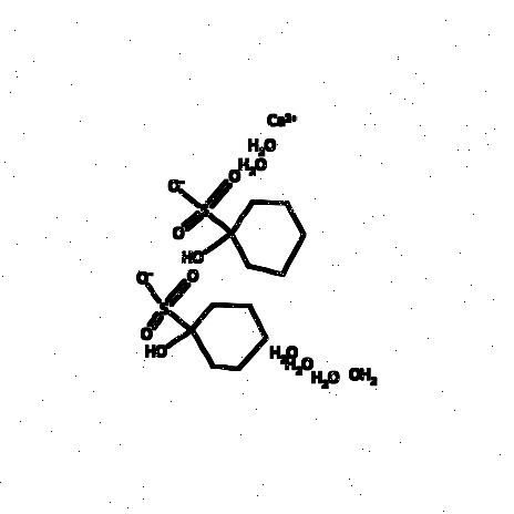 O.O.O.O.O.O.O=S(=O)([O-])C1(O)CCCCC1.O=S(=O)([O-])C1(O)CCCCC1.[Ca+2]